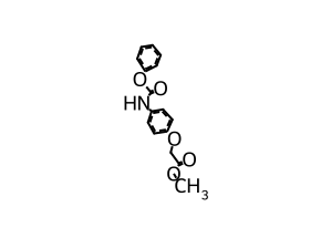 COC(=O)COc1ccc(NC(=O)Oc2ccccc2)cc1